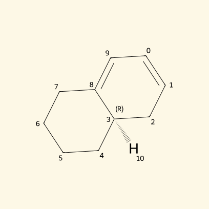 C1=CC[C@H]2CCCCC2=C1